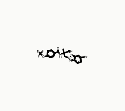 CC(C#N)(Cn1nc2ccc(Br)cc2n1)NC(=O)c1ccc(OC(F)(F)F)cc1